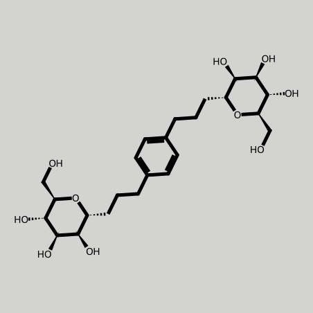 OC[C@H]1O[C@H](CCCc2ccc(CCC[C@H]3O[C@H](CO)[C@@H](O)[C@H](O)[C@@H]3O)cc2)[C@@H](O)[C@@H](O)[C@@H]1O